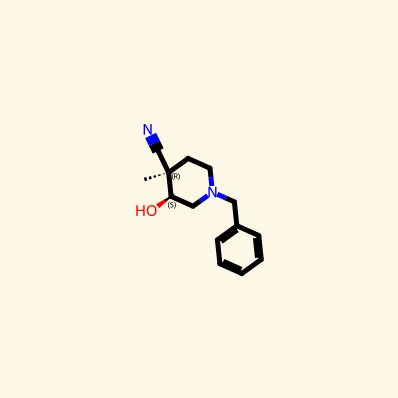 C[C@]1(C#N)CCN(Cc2ccccc2)C[C@H]1O